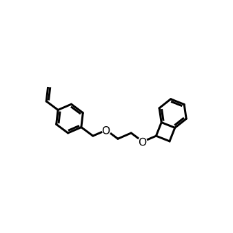 C=Cc1ccc(COCCOC2Cc3ccccc32)cc1